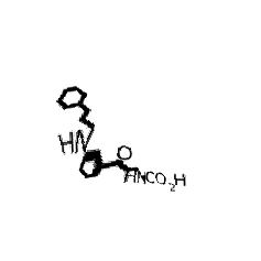 O=C(O)NCCC(=O)c1cccc(NCCCC2CCCCC2)c1